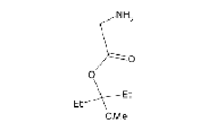 CCC(CC)(OC)OC(=O)CN